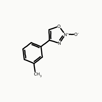 Cc1cccc(-c2co[n+]([O-])n2)c1